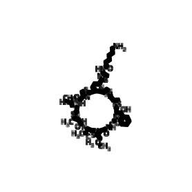 CNC(=O)C[C@@H]1NC(=O)c2csc(n2)-c2ccc(-c3nc(NC(=O)CCCCCN)cs3)nc2-c2csc(n2)-c2csc(n2)[C@H]([C@@H](O)c2ccccc2)NC(=O)CNC(=O)c2nc(sc2COC)[C@@H](C(C)C)NC(=O)c2nc1sc2C